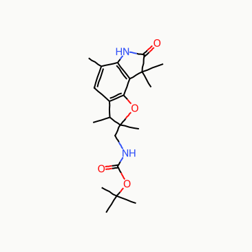 Cc1cc2c(c3c1NC(=O)C3(C)C)OC(C)(CNC(=O)OC(C)(C)C)C2C